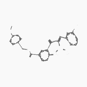 COc1ccc(CNC(=O)c2ccc3c(c2)C(=O)/C(=C/c2cccc(Cl)c2)[S+]([O-])N3)cc1